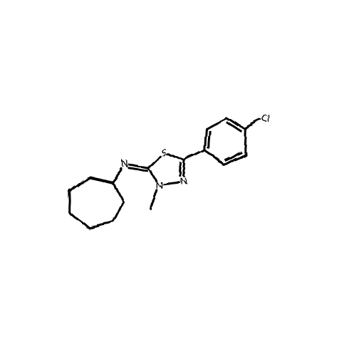 Cn1nc(-c2ccc(Cl)cc2)s/c1=N/C1CCCCCC1